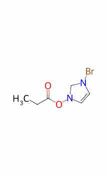 CCC(=O)ON1C=CN(Br)C1